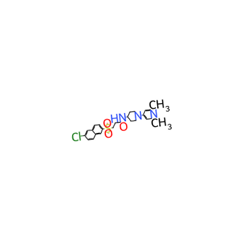 Cc1cc(N2CCC(NC(=O)CCS(=O)(=O)c3ccc4cc(Cl)ccc4c3)CC2)cc(C)n1